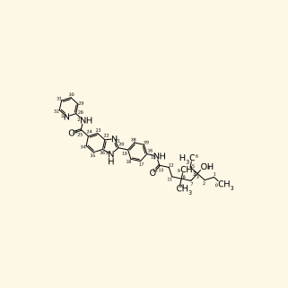 CCCC(O)(CC)CC(C)(C)CCC(=O)Nc1ccc(-c2nc3cc(C(=O)Nc4ccccn4)ccc3[nH]2)cc1